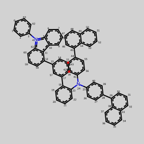 c1ccc(-n2c3ccccc3c3c(-c4cccc(-c5ccccc5N(c5ccc(-c6cccc7ccccc67)cc5)c5ccc(-c6cccc7ccccc67)cc5)c4)cccc32)cc1